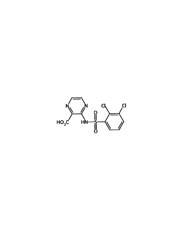 O=C(O)c1nccnc1NS(=O)(=O)c1cccc(Cl)c1Cl